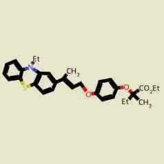 CCOC(=O)C(C)(CC)Oc1ccc(OC/C=C(\C)c2ccc3c(c2)N(CC)c2ccccc2S3)cc1